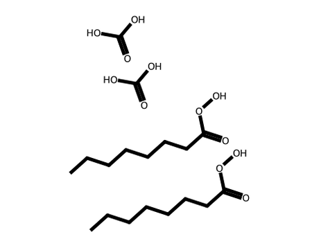 CCCCCCCC(=O)OO.CCCCCCCC(=O)OO.O=C(O)O.O=C(O)O